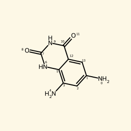 Nc1cc(N)c2[nH]c(=O)[nH]c(=O)c2c1